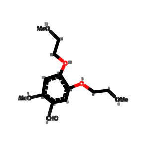 COCCOc1cc(C=O)c(OC)cc1OCCOC